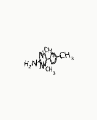 Cc1ccc(-c2c(C)nc(N)nc2C)cc1